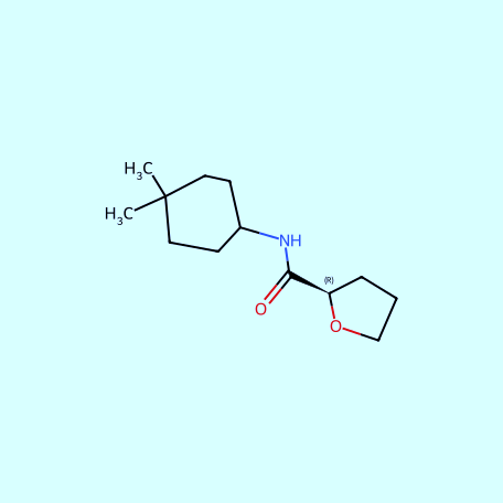 CC1(C)CCC(NC(=O)[C@H]2CCCO2)CC1